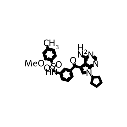 COc1cc(C)ccc1S(=O)(=O)Nc1cccc(C(=O)c2cn(C3CCCC3)c3ncnc(N)c23)c1